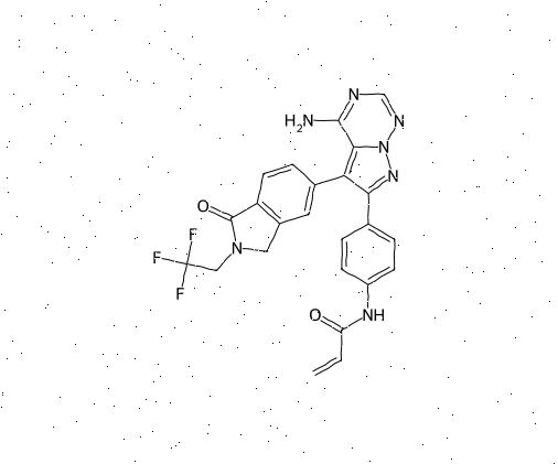 C=CC(=O)Nc1ccc(-c2nn3ncnc(N)c3c2-c2ccc3c(c2)CN(CC(F)(F)F)C3=O)cc1